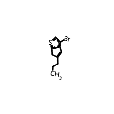 CCCC1=Cc2c(Br)csc2C1